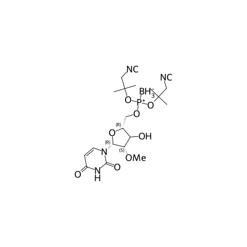 [BH3-][P+](OC[C@H]1O[C@@H](n2ccc(=O)[nH]c2=O)[C@@H](OC)C1O)(OC(C)(C)C[N+]#[C-])OC(C)(C)C[N+]#[C-]